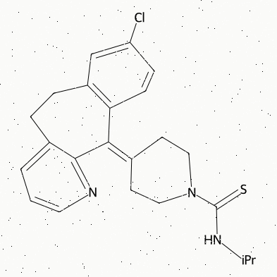 CC(C)NC(=S)N1CCC(=C2c3ccc(Cl)cc3CCc3cccnc32)CC1